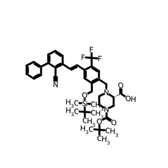 CC(C)(C)OC(=O)N1CCN(Cc2cc(C(F)(F)F)c(/C=C/c3cccc(-c4ccccc4)c3C#N)cc2CO[Si](C)(C)C(C)(C)C)[C@H](C(=O)O)C1